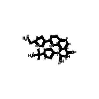 CC(C)(N)c1ccc(-n2c(=N)[nH]c(=O)c3cnc4ccc(-c5ccc(CN)nc5)nc4c32)cc1